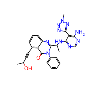 CC(O)C#Cc1cccc2nc(C(C)Nc3ncnc(N)c3-c3nnn(C)n3)n(-c3ccccc3)c(=O)c12